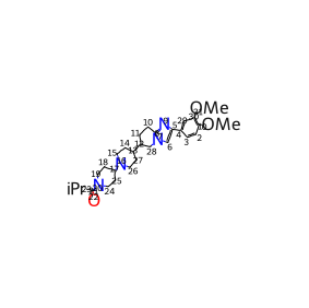 COc1ccc(-c2cn3c(n2)CCC(C2CCN(C4CCN(C(=O)C(C)C)CC4)CC2)C3)cc1OC